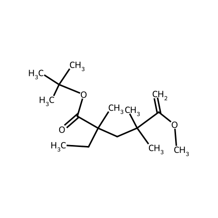 C=C(OC)C(C)(C)CC(C)(CC)C(=O)OC(C)(C)C